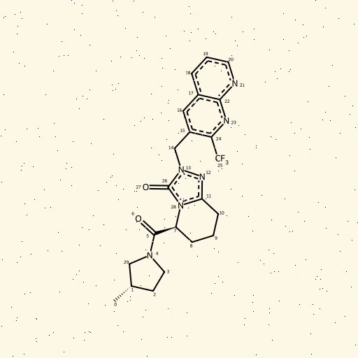 C[C@H]1CCN(C(=O)[C@@H]2CCCc3nn(Cc4cc5cccnc5nc4C(F)(F)F)c(=O)n32)C1